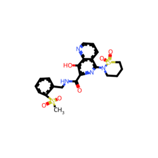 CS(=O)(=O)c1ccccc1CNC(=O)c1nc(N2CCCCS2(=O)=O)c2cccnc2c1O